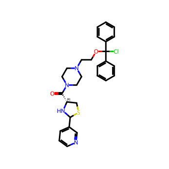 O=C([C@@H]1CSC(c2cccnc2)N1)N1CCN(CCOC(Cl)(c2ccccc2)c2ccccc2)CC1